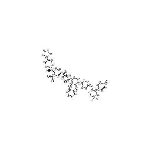 CC1(C)CCC(CN2CCN(c3ccc(C(=O)NS(=O)(=O)c4ccc(NC5CCN(C6CCCC6)CC5)c([N+](=O)[O-])c4)c(Oc4ccccc4Cl)c3)CC2)=C(c2ccc(Cl)cc2)C1